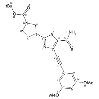 COc1cc(C#Cc2nc(C3CCN(C(=O)OC(C)(C)C)C3)sc2C(N)=O)cc(OC)c1